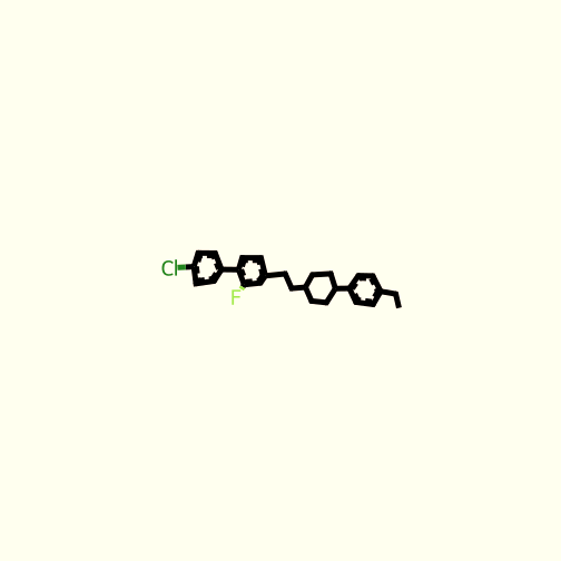 CCc1ccc(C2CCC(CCc3ccc(-c4ccc(Cl)cc4)c(F)c3)CC2)cc1